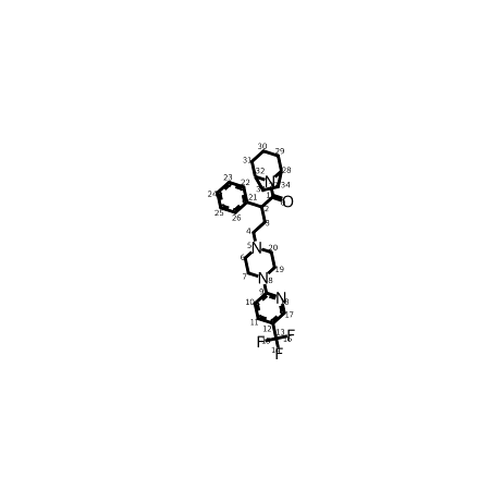 O=C(C(CCN1CCN(c2ccc(C(F)(F)F)cn2)CC1)c1ccccc1)N1C2CCCC1CC2